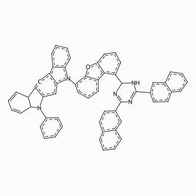 C1=CC2c3cc4c5ccccc5n(-c5cccc6c5oc5cccc(C7N=C(c8ccc9ccccc9c8)N=C(c8ccc9ccccc9c8)N7)c56)c4cc3N(c3ccccc3)C2C=C1